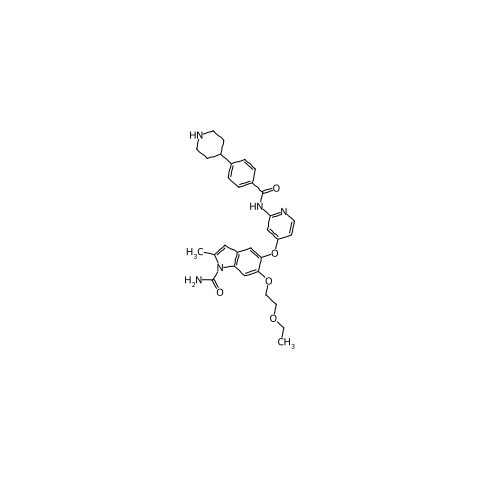 CCOCCOc1cc2c(cc1Oc1ccnc(NC(=O)c3ccc(C4CCNCC4)cc3)c1)cc(C)n2C(N)=O